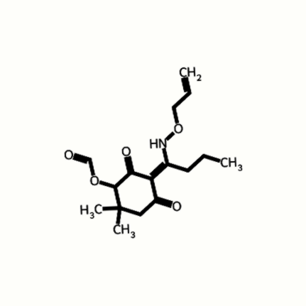 C=CCONC(CCC)=C1C(=O)CC(C)(C)C(OC=O)C1=O